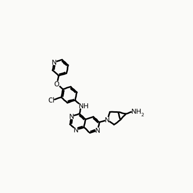 NC1C2CN(c3cc4c(Nc5ccc(Oc6cccnc6)c(Cl)c5)ncnc4cn3)CC12